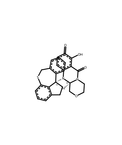 O=C1c2c(O)c(=O)ccn2N([C@]23CCc4cccc(c42)SCc2ccccc23)[C@@H]2COCCN12